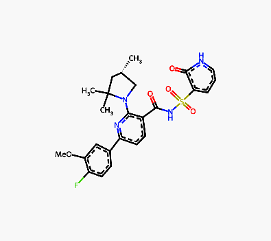 COc1cc(-c2ccc(C(=O)NS(=O)(=O)c3ccc[nH]c3=O)c(N3C[C@@H](C)CC3(C)C)n2)ccc1F